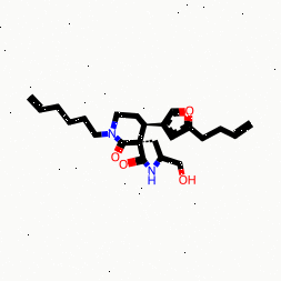 C=CCCCCN1CC[C@@H](c2coc(CCC=C)c2)[C@]2(CC(CO)NC2=O)C1=O